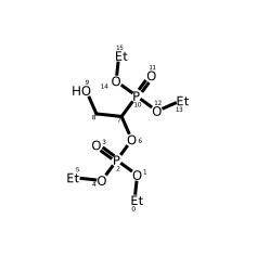 CCOP(=O)(OCC)OC(CO)P(=O)(OCC)OCC